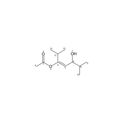 CC(=O)O/C(=C/C(O)C(C)C)C(C)C